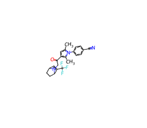 Cc1cc(C(=O)CN2C3C=C(C(F)(F)F)C2CC3)c(C)n1-c1ccc(C#N)cc1